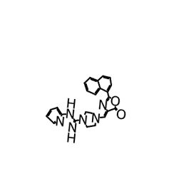 N=C(Nc1ccccn1)N1CCN(C=C2N=C(c3cccc4ccccc34)OC2=O)CC1